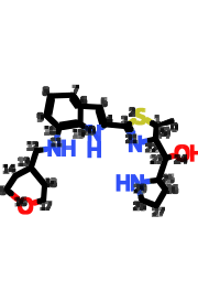 C[C@@H]1SC(c2cc3cccc(NCC4CCOCC4)c3[nH]2)=NC1C(O)C1CCCN1